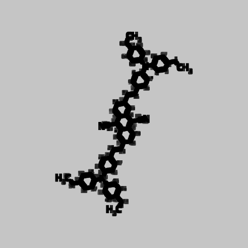 CCc1ccc(N(c2ccc(C=Cc3ccc4c(C#N)c5cc(C=Cc6ccc(N(c7ccc(CC)cc7)c7ccc(CC)cc7)cc6)ccc5c(C#N)c4c3)cc2)c2ccc(CC)cc2)cc1